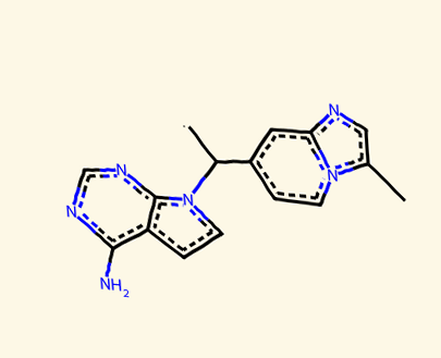 [CH2]C(c1ccn2c(C)cnc2c1)n1ccc2c(N)ncnc21